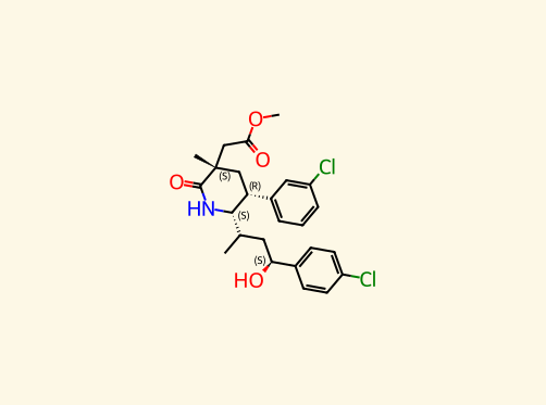 COC(=O)C[C@]1(C)C[C@H](c2cccc(Cl)c2)[C@H](C(C)C[C@H](O)c2ccc(Cl)cc2)NC1=O